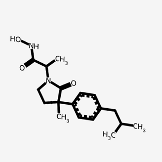 CC(C)Cc1ccc(C2(C)CCN(C(C)C(=O)NO)C2=O)cc1